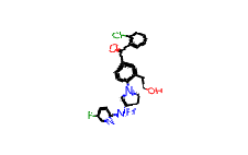 O=C(c1ccc(N2CC[C@H](Nc3ccc(F)cn3)C2)c(CCO)c1)c1ccccc1Cl